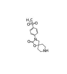 CS(=O)(=O)c1ccc(N2CC3(CCNCC3)OC2=O)cc1